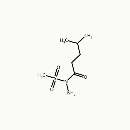 CC(C)CCC(=O)N(N)S(C)(=O)=O